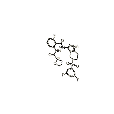 O=C(Nc1n[nH]c2c1CN(S(=O)(=O)c1cc(F)cc(F)c1)CC2)c1c(F)cccc1NC(=O)[C@H]1CCCO1